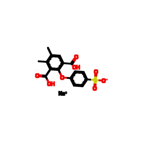 Cc1cc(C(=O)O)c(Oc2ccc(S(=O)(=O)[O-])cc2)c(C(=O)O)c1C.[Na+]